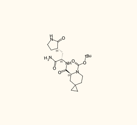 CC(C)(C)OC(=O)N1CCC2(CC2)C[C@H]1C(=O)N[C@@H](C[C@@H]1CCNC1=O)C(N)=O